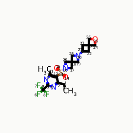 CCc1nc(C(F)(F)F)nc(C)c1S(=O)(=O)N1CC2(CN(C3CC4(COC4)C3)C2)C1